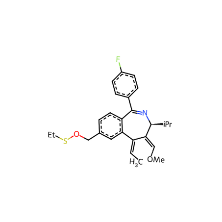 C/C=C1\C(=C/OC)[C@H](C(C)C)N=C(c2ccc(F)cc2)c2ccc(COSCC)cc21